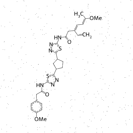 C=C/C(=C\C=C(/C)OC)CC(=O)Nc1nnc(C2CCC(c3nnc(NC(=O)Cc4ccc(OC)cc4)s3)C2)s1